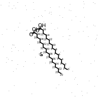 CCCCCCCCCCCCCCCCCC(=O)O.CCCCCCCCCCCCCCCCCC(=O)O.[S]